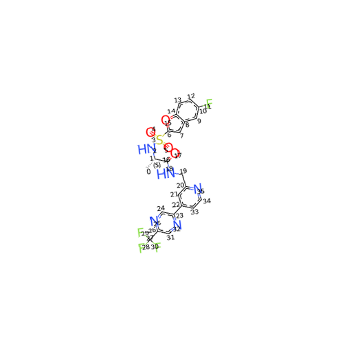 C[C@H](NS(=O)(=O)c1cc2cc(F)ccc2o1)C(=O)NCc1cc(-c2cnc(C(F)(F)F)cn2)ccn1